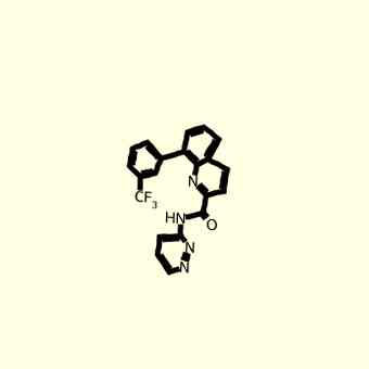 O=C(Nc1cccnn1)c1ccc2cccc(-c3cccc(C(F)(F)F)c3)c2n1